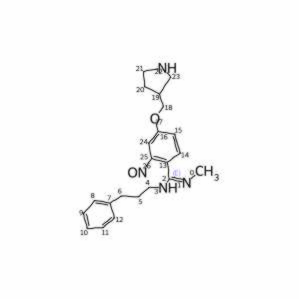 C/N=C(/NCCCc1ccccc1)c1ccc(OCC2CCNC2)cc1N=O